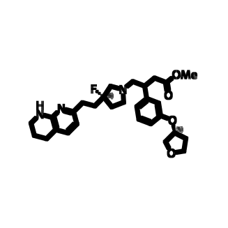 COC(=O)CC(CN1CC[C@@](F)(CCc2ccc3c(n2)NCCC3)C1)c1cccc(O[C@H]2CCOC2)c1